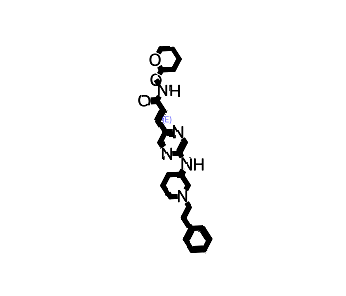 O=C(/C=C/c1cnc(NC2CCCN(CCc3ccccc3)C2)cn1)NOC1CCCCO1